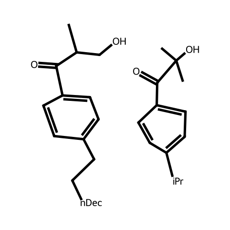 CC(C)c1ccc(C(=O)C(C)(C)O)cc1.CCCCCCCCCCCCc1ccc(C(=O)C(C)CO)cc1